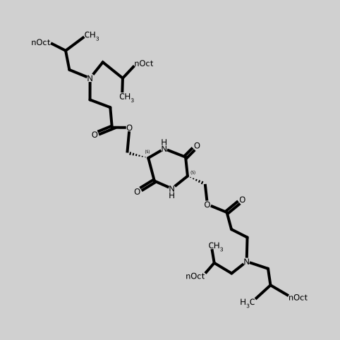 CCCCCCCCC(C)CN(CCC(=O)OC[C@@H]1NC(=O)[C@H](COC(=O)CCN(CC(C)CCCCCCCC)CC(C)CCCCCCCC)NC1=O)CC(C)CCCCCCCC